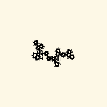 C1=CC2=C(CC1)C(C1N=C(c3ccc(-c4ccccc4)c4ccccc34)N=C(c3cccc(-c4cccc(C5=NC(c6ccccc6)NC(c6cc(-c7ccc(-c8cc9ccccc9c9ccccc89)cc7)c7ccccc7c6)N5)c4)c3)N1)CC=C2